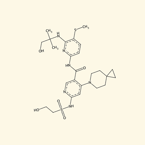 CSc1ccc(NC(=O)c2cnc(NS(=O)(=O)CCO)cc2N2CCC3(CC2)CC3)nc1NC(C)(C)CO